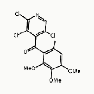 COc1cc(C)c(C(=O)c2c(Cl)cnc(Cl)c2Cl)c(OC)c1OC